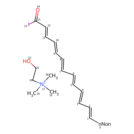 CCCCCCCCC/C=C/C=C/C=C/C=C/C=C/C=C/C(=O)I.C[N+](C)(C)CCO